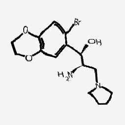 N[C@H](CN1CCCC1)[C@H](O)c1cc2c(cc1Br)OCCO2